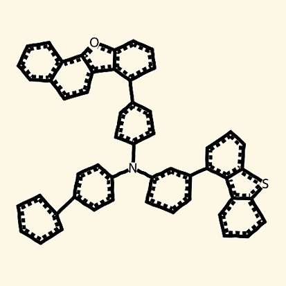 c1ccc(-c2ccc(N(c3ccc(-c4cccc5oc6c7ccccc7ccc6c45)cc3)c3cccc(-c4cccc5sc6ccccc6c45)c3)cc2)cc1